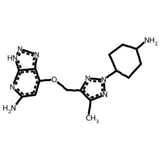 Cc1nn(C2CCC(N)CC2)nc1COc1cc(N)nc2[nH]nnc12